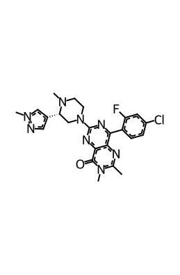 Cc1nc2c(-c3ccc(Cl)cc3F)nc(N3CCN(C)[C@@H](c4cnn(C)c4)C3)nc2c(=O)n1C